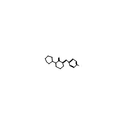 O=C1C(=Cc2ccc(Cl)cc2)CCCC1C1CCCCC1